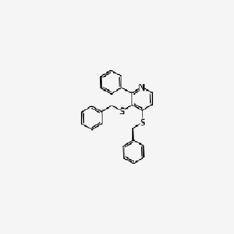 c1ccc(CSc2ccnc(-c3ccccc3)c2SCc2ccccc2)cc1